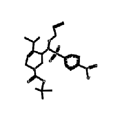 C=CCON(C1CN(C(=O)OC(C)(C)C)CC=C1C(C)C)S(=O)(=O)c1ccc([N+](=O)[O-])cc1